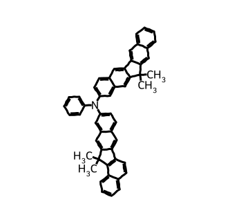 CC1(C)c2cc3ccccc3cc2-c2cc3ccc(N(c4ccccc4)c4ccc5cc6c(cc5c4)C(C)(C)c4c-6ccc5ccccc45)cc3cc21